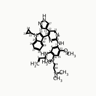 C=CC(=O)Nc1cc(Nc2ncc(-c3cn[nH]c3)c(-c3cn(C4CC4)c4ccccc34)n2)c(OC)cc1N(C)CCN(C)C